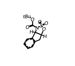 CC(C)(C)OC(=O)N1[C@H]2c3ccccc3C[C@H]2OS1(=O)=O